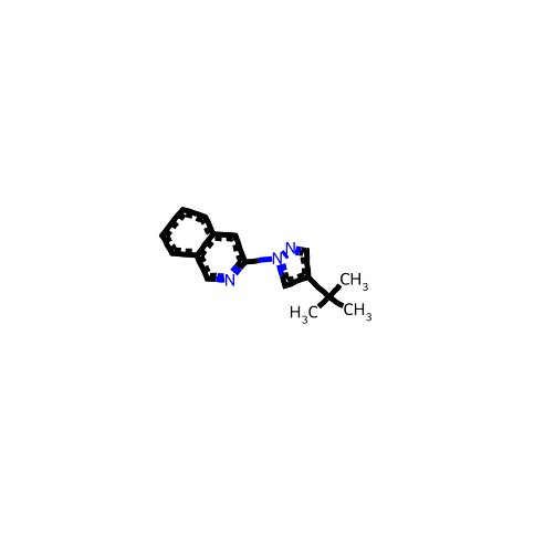 CC(C)(C)c1cnn(-c2cc3ccccc3cn2)c1